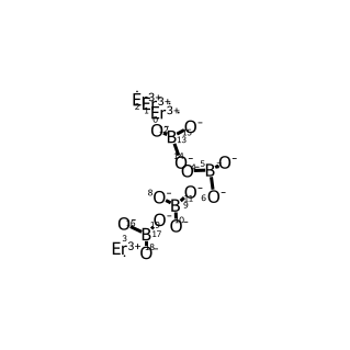 [Er+3].[Er+3].[Er+3].[Er+3].[O-]B([O-])[O-].[O-]B([O-])[O-].[O-]B([O-])[O-].[O-]B([O-])[O-]